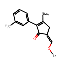 CCOC=C1CC(NC)=C(c2cccc(C(F)(F)F)c2)C1=O